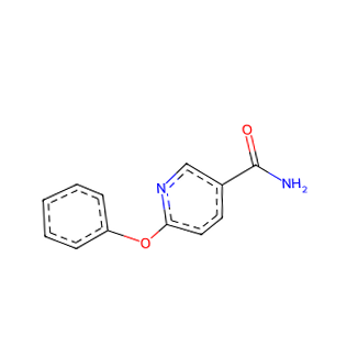 NC(=O)c1ccc(Oc2ccccc2)nc1